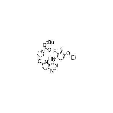 CC(C)(C)OC(=O)N1CC[C@H](Oc2ccc3ncnc(Nc4ccc(OC5CCC5)c(Cl)c4F)c3n2)C1